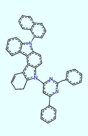 C1=Cc2c(n(-c3cc(-c4ccccc4)nc(-c4ccccc4)n3)c3ccc4c(c5ccccc5n4-c4cccc5ccccc45)c23)CC1